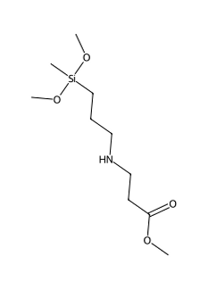 COC(=O)CCNCCC[Si](C)(OC)OC